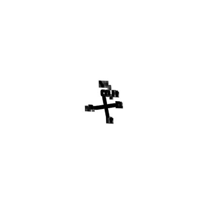 CCCC(CC)(CC)C(=O)OCC.N